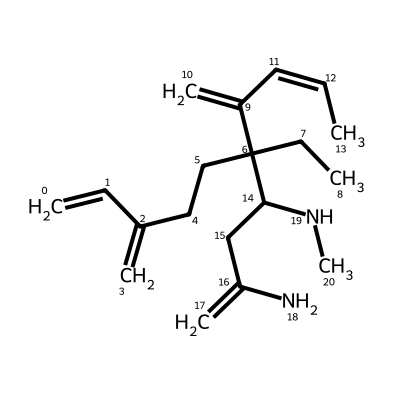 C=CC(=C)CCC(CC)(C(=C)/C=C\C)C(CC(=C)N)NC